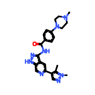 Cc1c(-c2cc3c(NC(=O)c4ccc(N5CCN(C)CC5)cc4)n[nH]c3cn2)cnn1C